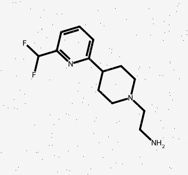 NCCN1CCC(c2cccc(C(F)F)n2)CC1